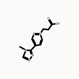 Cn1cnnc1-c1cc[n+](CCC(=O)O)nc1